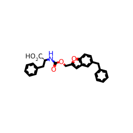 O=C(N[C@H](Cc1ccccc1)C(=O)O)OCc1cc2cc(Cc3ccccc3)ccc2o1